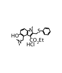 CCOC(=O)c1c(CSc2ccccc2)n(C)c2ccc(O)c(CN(C)C)c12.Cl